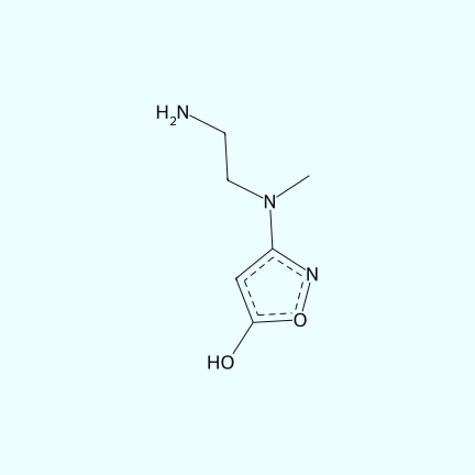 CN(CCN)c1cc(O)on1